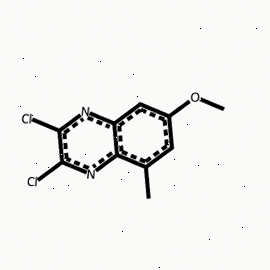 COc1cc(C)c2nc(Cl)c(Cl)nc2c1